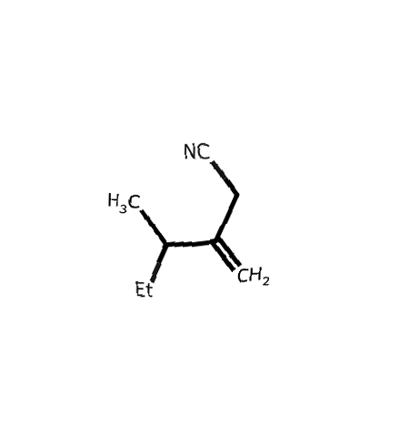 C=C(CC#N)C(C)CC